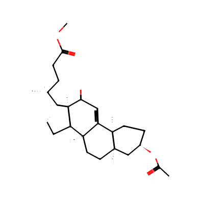 COC(=O)CC[C@@H](C)[C@H]1CCC2[C@@H]3CC[C@@H]4C[C@H](OC(C)=O)CC[C@]4(C)C3=CC(O)[C@@]21C